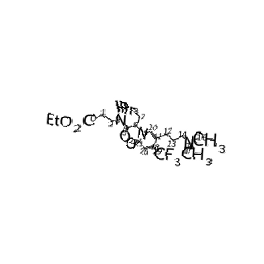 CCOC(=O)CCNC(=O)C(CC(C)C)n1cc(CCCN(C)C)c(C(F)(F)F)cc1=O